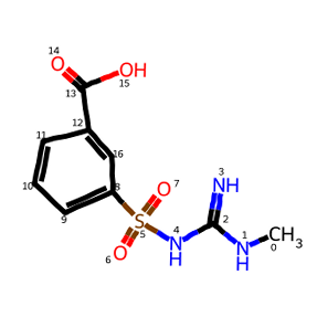 CNC(=N)NS(=O)(=O)c1cccc(C(=O)O)c1